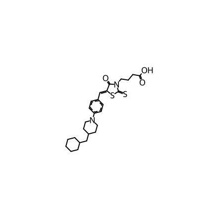 O=C(O)CCCN1C(=O)C(=Cc2ccc(N3CCC(CC4CCCCC4)CC3)cc2)SC1=S